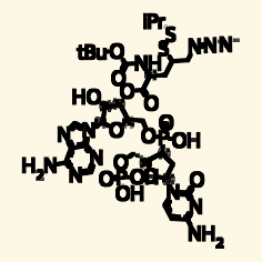 CC(C)SSC(CN=[N+]=[N-])C[C@H](NC(=O)OC(C)(C)C)C(=O)O[C@H]1[C@@H](O)[C@H](n2cnc3c(N)ncnc32)O[C@@H]1COP(=O)(O)[C@H]1C[C@H](n2ccc(N)nc2=O)O[C@@H]1COP(=O)(O)O